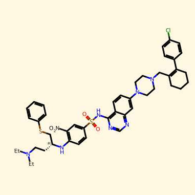 CCN(CC)CC[C@H](CSc1ccccc1)Nc1ccc(S(=O)(=O)Nc2ncnc3cc(N4CCN(CC5=C(c6ccc(Cl)cc6)CCCC5)CC4)ccc23)cc1[N+](=O)[O-]